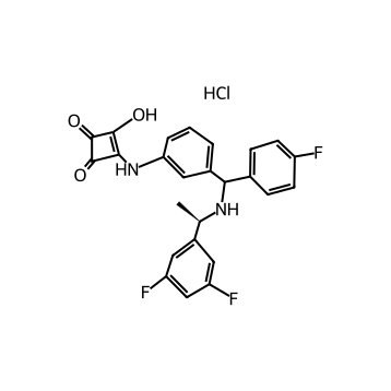 C[C@@H](NC(c1ccc(F)cc1)c1cccc(Nc2c(O)c(=O)c2=O)c1)c1cc(F)cc(F)c1.Cl